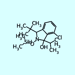 CC(C)C1(O)c2c(Cl)cccc2C(C(C)(C)C)N1O[SiH](C)C